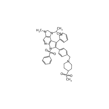 CC(C)N1CN(C)c2cnc3c(c(-c4ccccc4)c(-c4ccc(CN5CCC(S(C)(=O)=O)CC5)cc4)n3S(=O)(=O)c3ccccc3)c21